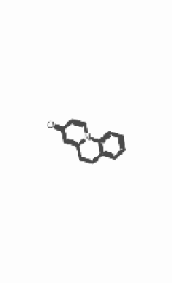 O=c1ccn2c(c1)CCc1ccccc1-2